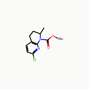 CC1CCc2ccc(Cl)nc2N1C(=O)OC(C)(C)C